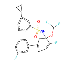 O=S(=O)(NC1(OC(F)F)CC(c2cccc(F)c2)=CC=C1F)c1cccc(C2CC2)c1